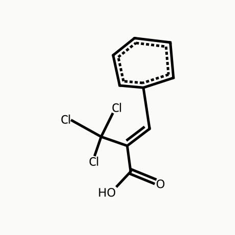 O=C(O)C(=Cc1ccccc1)C(Cl)(Cl)Cl